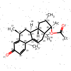 CCC(=O)O[C@]1(C(C)=O)[C@@H](C)C[C@H]2[C@@H]3C[C@H](C)C4=CC(=O)C=C[C@]4(C)C3=CC[C@@]21C